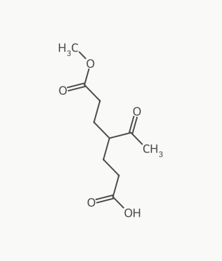 COC(=O)CCC(CCC(=O)O)C(C)=O